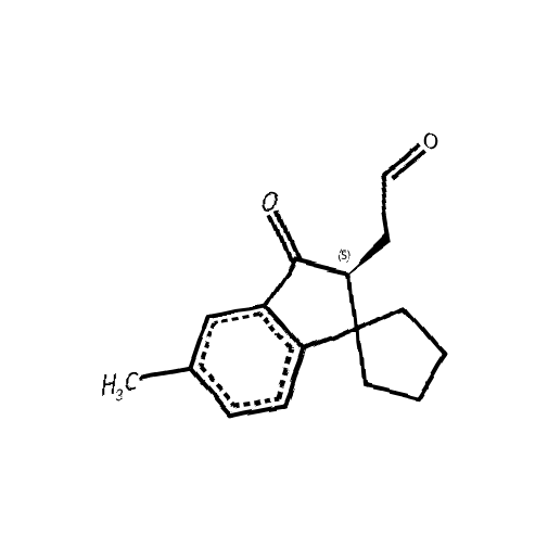 Cc1ccc2c(c1)C(=O)[C@@H](CC=O)C21CCCC1